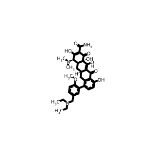 CCN(CC)Cc1ccc(OC)c(-c2ccc(O)c3c2C[C@H]2CC4[C@@H](N(C)C)C(O)=C(C(N)=O)C(=O)[C@@]4(O)C(O)=C2C3=O)c1